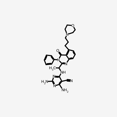 CC(Nc1nc(N)nc(N)c1C#N)c1nc2cccc(CCCN3CCOCC3)c2c(=O)n1-c1ccccc1